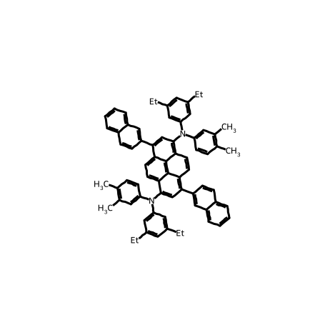 CCc1cc(CC)cc(N(c2ccc(C)c(C)c2)c2cc(-c3ccc4ccccc4c3)c3ccc4c(N(c5cc(CC)cc(CC)c5)c5ccc(C)c(C)c5)cc(-c5ccc6ccccc6c5)c5ccc2c3c54)c1